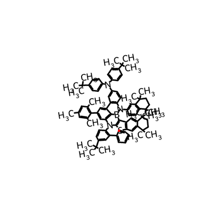 Cc1cc(C)c(-c2cc3c4c(c2)N(c2ccc(C(C)(C)C)cc2-c2ccccc2)c2sc5cc6c(cc5c2B4N(c2ccc4c(c2)C(C)(C)CCC4(C)C)c2ccc(N(c4ccc(C(C)(C)C)cc4)c4ccc(C(C)(C)C)cc4)cc2-3)C(C)(C)CCC6(C)C)c(C)c1